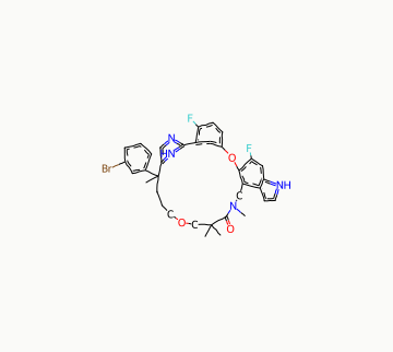 CN1Cc2c(c(F)cc3[nH]ccc23)Oc2ccc(F)c(c2)-c2ncc([nH]2)C(C)(c2cccc(Br)c2)CCCOCC(C)(C)C1=O